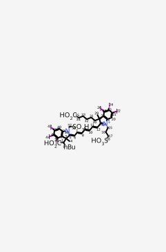 CCCCC(C(=O)O)C1(C)/C(=C/C=C/C=C/C=C/C2=[N+](CCCS(=O)(=O)O)c3cc(I)c(I)c(I)c3C2(C)CCCCCC(=O)O)N(CS(=O)(=O)O)c2cc(I)c(I)c(I)c21